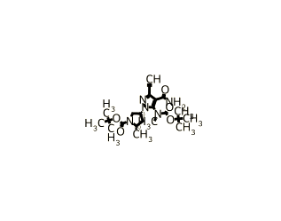 C#Cc1nn([C@H]2C[C@@H](C)N(C(=O)OC(C)(C)C)C2)c(N(C)C(=O)OC(C)(C)C)c1C(N)=O